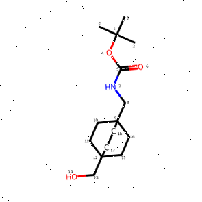 CC(C)(C)OC(=O)NCC12CCC(CO)(CC1)CC2